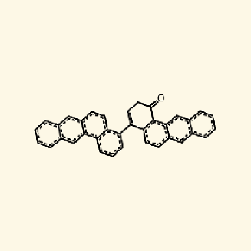 O=C1CC=C(c2cccc3c2ccc2cc4ccccc4cc23)c2ccc3cc4ccccc4cc3c21